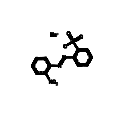 O=[N+]([O-])c1ccccc1N=Nc1ccccc1S(=O)(=O)[O-].[Na+]